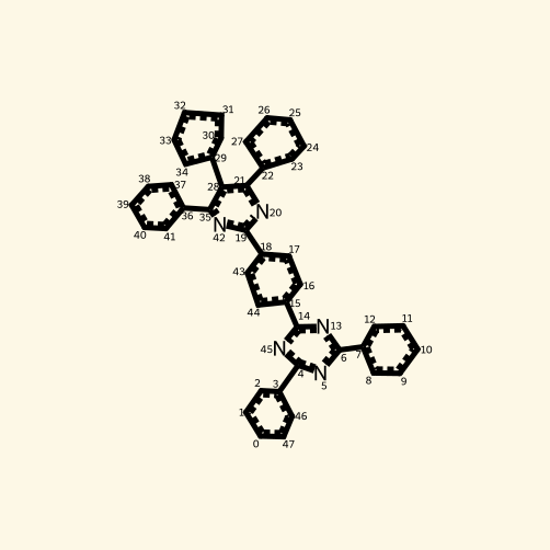 c1ccc(-c2nc(-c3ccccc3)nc(-c3ccc(-c4nc(-c5ccccc5)c(-c5ccccc5)c(-c5ccccc5)n4)cc3)n2)cc1